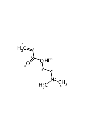 C=CC(=O)OCCN(C)C.I